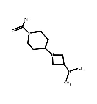 CN(C)C1CN(C2CCN(C(=O)O)CC2)C1